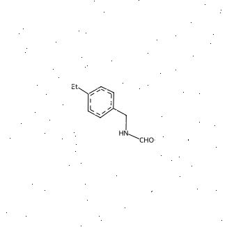 CCc1ccc(CN[C]=O)cc1